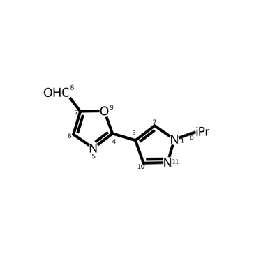 CC(C)n1cc(-c2ncc(C=O)o2)cn1